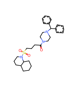 O=C(CCCS(=O)(=O)N1CCCC2CCCCC21)N1CCN(C(c2ccccc2)c2ccccc2)CC1